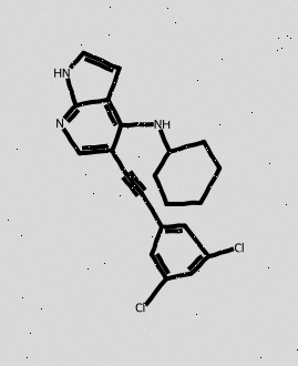 Clc1cc(Cl)cc(C#Cc2cnc3[nH]ccc3c2NC2CCCCC2)c1